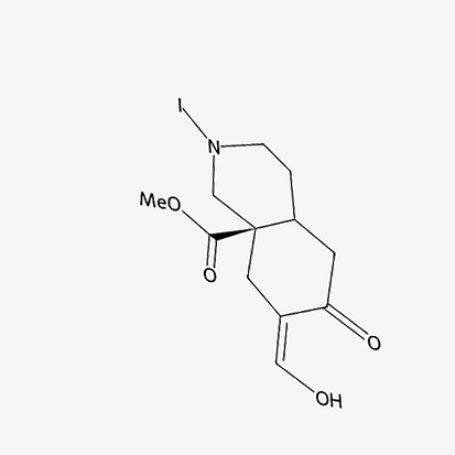 COC(=O)[C@]12C/C(=C/O)C(=O)CC1CCN(I)C2